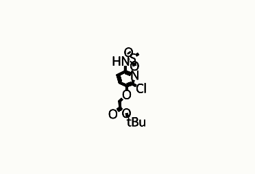 CC(C)(C)OC(=O)COc1ccc(NS(C)(=O)=O)nc1Cl